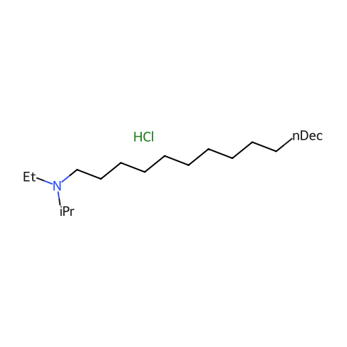 CCCCCCCCCCCCCCCCCCCCN(CC)C(C)C.Cl